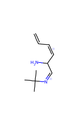 C=C/C=C\C(N)/C=N\C(C)(C)C